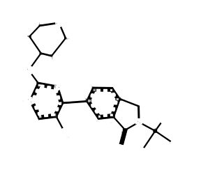 CC(C)(C(=O)O)N1Cc2ccc(-c3nc(NC4CCOCC4)ncc3Cl)cc2C1=O